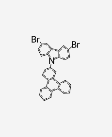 Brc1ccc2c(c1)c1cc(Br)ccc1n2-c1ccc2c3ccccc3c3ccccc3c2c1